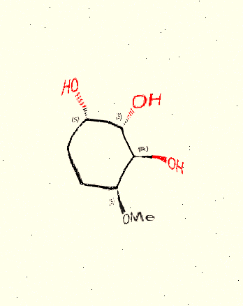 CO[C@H]1CC[C@H](O)[C@H](O)[C@H]1O